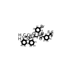 CC(C)(C)[Si](OC[C@H]1CN(S(=O)(=O)c2cccc(C(F)(F)F)c2)c2cc(Br)ccc2O1)(c1ccccc1)c1ccccc1